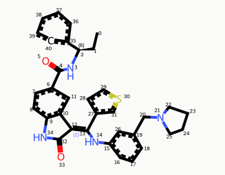 CC[C@@H](NC(=O)c1ccc2c(c1)/C(=C(/Nc1cccc(CN3CCCC3)c1)c1ccsc1)C(=O)N2)c1ccccc1